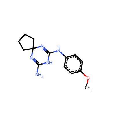 COc1ccc(NC2=NC3(CCCC3)N=C(N)N2)cc1